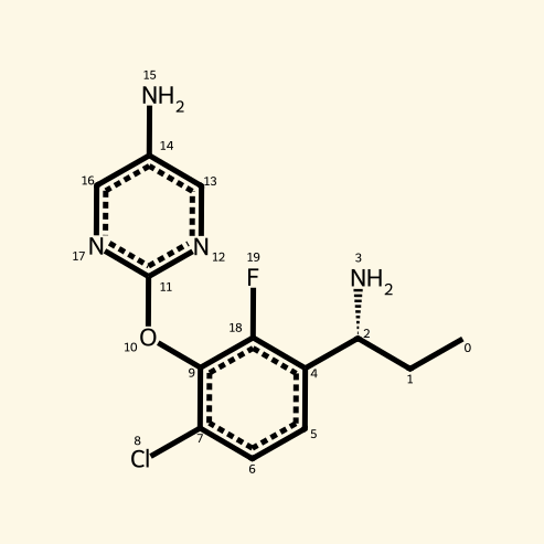 CC[C@@H](N)c1ccc(Cl)c(Oc2ncc(N)cn2)c1F